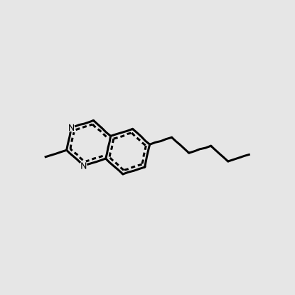 CCCCCc1ccc2nc(C)ncc2c1